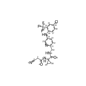 N#CCC(=O)NC1(C(=O)NCc2ccc(Nc3ccc(Cl)cc3C(F)(F)F)cn2)CC1